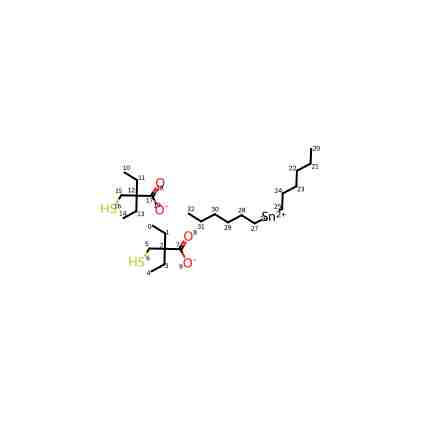 CCC(CC)(CS)C(=O)[O-].CCC(CC)(CS)C(=O)[O-].CCCCC[CH2][Sn+2][CH2]CCCCC